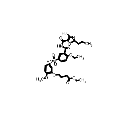 CCCc1nc(C)c2c(=O)[nH]c(-c3cc(S(=O)(=O)Nc4ccc(OC)c(OCCCC(=O)OCC)c4)ccc3OCC)nn12